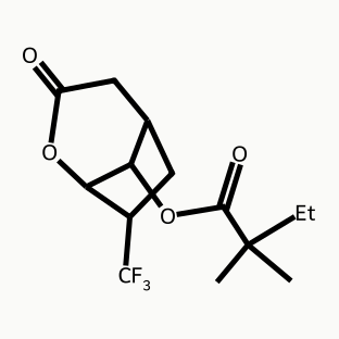 CCC(C)(C)C(=O)OC1C2CC(=O)OC1C(C(F)(F)F)C2